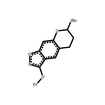 CCOc1noc2cc3c(cc12)CCC(C(C)(C)C)O3